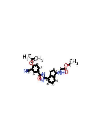 CCOC(=O)CNC1CCc2c(-c3noc(-c4ccc(OC(C)C)c(C#N)c4)n3)cccc21